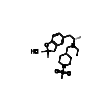 CCN(CC1CCN(S(C)(=O)=O)CC1)[C@@H](C)Cc1ccc2c(c1)CC(C)(C)O2.Cl